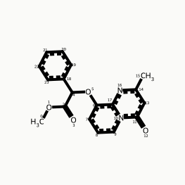 COC(=O)C(Oc1cccn2c(=O)cc(C)nc12)c1ccccc1